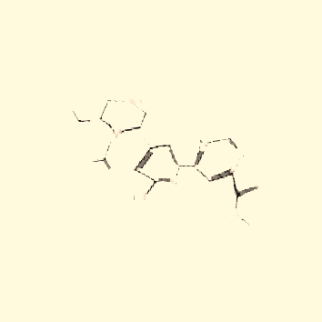 CNC(=O)c1cc(-c2cc([C@H]3CNC[C@H](CO)N3C(C)=O)cc(Cl)n2)ncn1